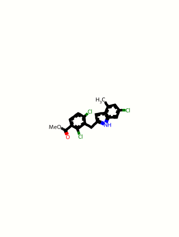 COC(=O)c1ccc(Cl)c(Cc2cc3c(C)cc(Cl)cc3[nH]2)c1Cl